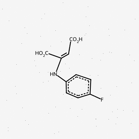 O=C(O)C=C(Nc1ccc(F)cc1)C(=O)O